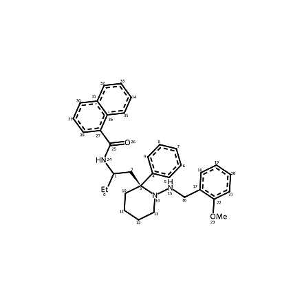 CCC(C[C@]1(c2ccccc2)CCCCN1NCc1ccccc1OC)NC(=O)c1cccc2ccccc12